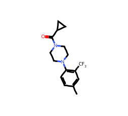 Cc1ccc(N2CCN(C(=O)C3CC3)CC2)c(C(F)(F)F)c1